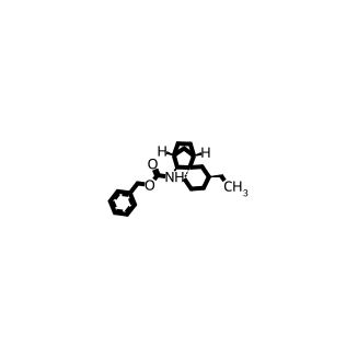 CC[C@H]1CCC[C@@]2(C1)[C@H]1CC[C@H](C1)[C@H]2NC(=O)OCc1ccccc1